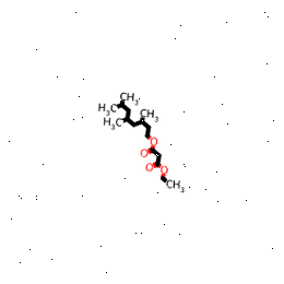 CCOC(=O)CC(=O)OCCC(C)CC(C)CC(C)C